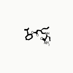 CCC[C@@H](CN[C@@H](CC)C(N)=O)CC(=O)O[C@@H]1CCCCC1C(C)C